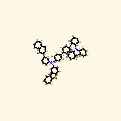 c1cc(-c2ccc3ccccc3c2)cc(N(c2ccc(-c3ccc(-c4ccccc4-n4c5ccccc5c5ccccc54)cc3)cc2)c2ccc3sc4ccccc4c3c2)c1